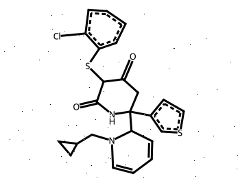 O=C1CC(c2ccsc2)(C2C=CC=CN2CC2CC2)NC(=O)C1Sc1ccccc1Cl